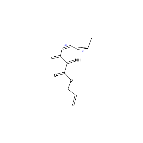 C=CCOC(=O)C(=N)C(=C)/C=C\C=C/C